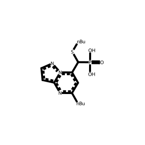 CCCCSC(c1cc(CCCC)nc2ccnn12)P(=O)(O)O